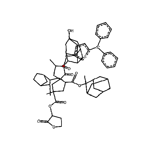 CC(CC(C)(CC(C)(CC(CC1C2CCC(C2)C1C)C(=O)OC1(C)C2CC3CC(C2)CC1C3)C(=O)OC1CCOC1=O)C(=O)OC1C2CC3CC1CC(O)(C3)C2)C(=O)Oc1ccc([S+](c2ccccc2)c2ccccc2)cc1